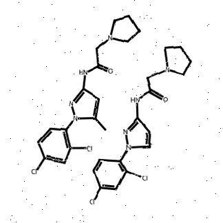 Cc1cc(NC(=O)CN2CCCC2)nn1-c1ccc(Cl)cc1Cl.O=C(CN1CCCC1)Nc1ccn(-c2ccc(Cl)cc2Cl)n1